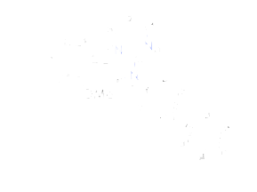 COc1ccccc1C1=CN(c2ccc(-c3ccccc3)cc2)C2=NCCCN12